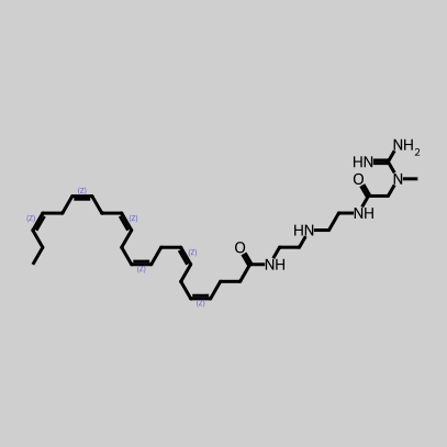 CC/C=C\C/C=C\C/C=C\C/C=C\C/C=C\C/C=C\CCC(=O)NCCNCCNC(=O)CN(C)C(=N)N